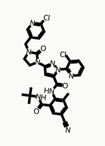 Cc1cc(C#N)cc(C(=O)NC(C)(C)C)c1NC(=O)c1cc(N2CCN(Cc3ccc(Cl)nc3)C2=O)nn1-c1ncccc1Cl